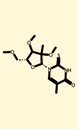 COC[C@H]1O[C@@H](n2cc(C)c(=O)[nH]c2=S)C(C)(OC)C1OC